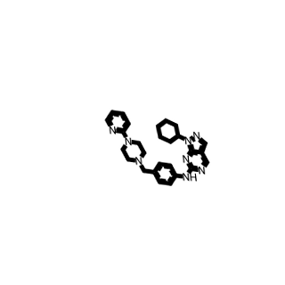 c1ccc(N2CCN(Cc3ccc(Nc4ncc5cnn(C6CCCCC6)c5n4)cc3)CC2)nc1